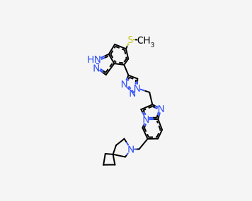 CSc1cc(-c2cn(Cc3cn4cc(CN5CCC6(CCC6)C5)ccc4n3)nn2)c2cn[nH]c2c1